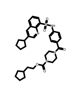 O=C(OCCC1CCCC1)N1CCN(C(=O)c2ccc(NS(=O)(=O)c3cccc4cc(C5CCCC5)cnc34)cc2)CC1